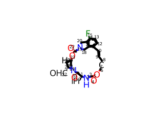 CC(C)[C@@H]1NC(=O)OCCC/C=C/c2ccc(F)c3c2CN(C3)C(=O)O[C@@H]2C[C@@H](C=O)N(C2)C1=O